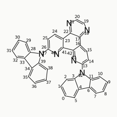 c1ccc2c(c1)c1ccccc1n2-c1ccc2c3nccnc3c3ccc(-n4c5ccccc5c5ccccc54)nc3c2n1